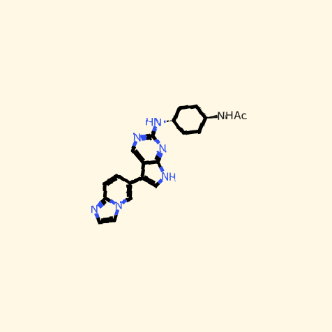 CC(=O)N[C@H]1CC[C@H](Nc2ncc3c(-c4ccc5nccn5c4)c[nH]c3n2)CC1